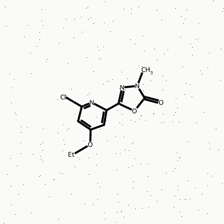 CCOc1cc(Cl)nc(-c2nn(C)c(=O)o2)c1